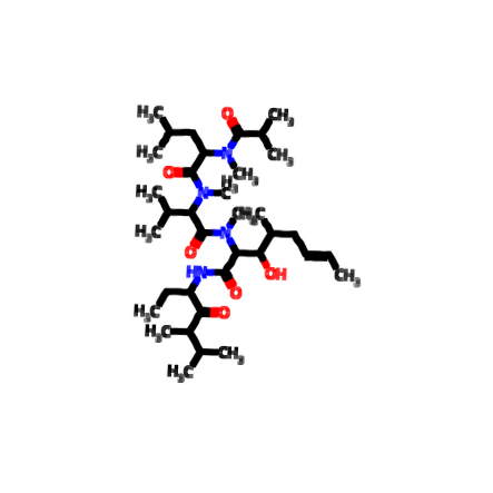 C/C=C/CC(C)C(O)C(C(=O)NC(CC)C(=O)C(C)C(C)C)N(C)C(=O)C(C(C)C)N(C)C(=O)C(CC(C)C)N(C)C(=O)C(C)C